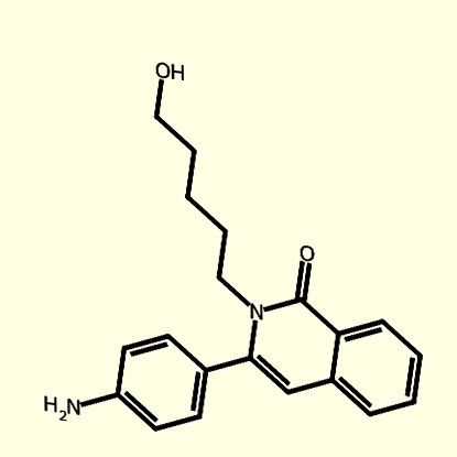 Nc1ccc(-c2cc3ccccc3c(=O)n2CCCCCO)cc1